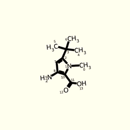 Cn1c(C(C)(C)C)cc(N)c1C(=O)O